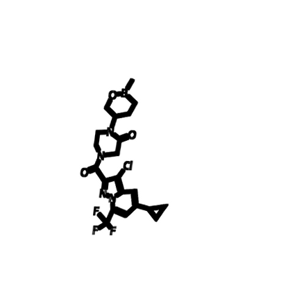 CB1CCC(N2CCN(C(=O)c3nn4c(C(F)(F)F)cc(C5CC5)cc4c3Cl)CC2=O)CO1